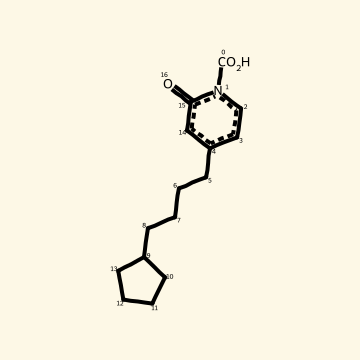 O=C(O)n1ccc(CCCCC2CCCC2)cc1=O